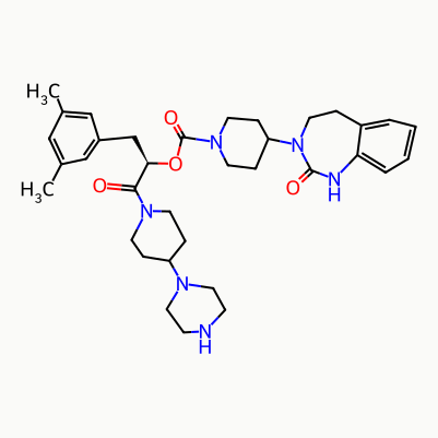 Cc1cc(C)cc(C[C@@H](OC(=O)N2CCC(N3CCc4ccccc4NC3=O)CC2)C(=O)N2CCC(N3CCNCC3)CC2)c1